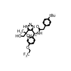 CC(C)(C)c1ccc(CC(=O)N[C@@H](c2ccc(OCC(F)(F)F)cn2)c2nn[nH]c2C(C)(C)CO)cc1